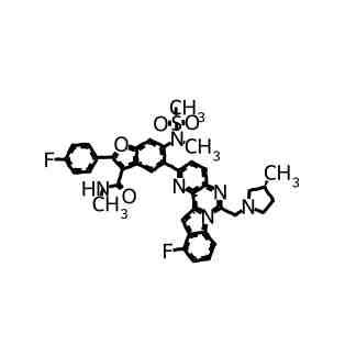 CNC(=O)c1c(-c2ccc(F)cc2)oc2cc(N(C)S(C)(=O)=O)c(-c3ccc4nc(CN5CC[C@H](C)C5)n5c6cccc(F)c6cc5c4n3)cc12